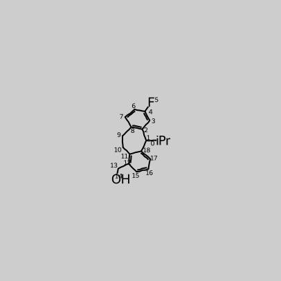 CC(C)C1c2cc(F)ccc2CCc2c(CO)cccc21